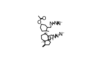 C=C1CC[C@H]2[C@H](CN=[N+]=[N-])[C@@H](C3(C)CCC(OC(C)=O)CC3CN=[N+]=[N-])CC[C@]12C